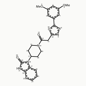 COc1cc(OC)cc(-c2nnc(CC(=O)N3CCC(n4c(=O)[nH]c5ncccc54)CC3)o2)c1